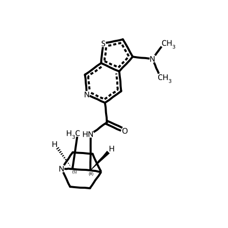 C[C@H]1[C@H](NC(=O)c2cc3c(N(C)C)csc3cn2)C2CCN1CC2